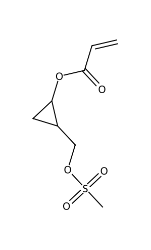 C=CC(=O)OC1CC1COS(C)(=O)=O